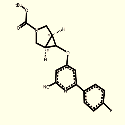 CC(C)(C)OC(=O)N1C[C@@H]2C(Oc3cc(C#N)nc(-c4ccc(F)cc4)c3)[C@@H]2C1